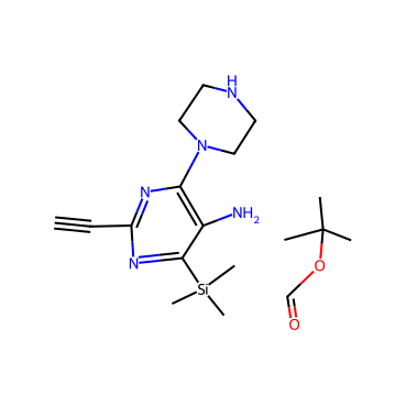 C#Cc1nc(N2CCNCC2)c(N)c([Si](C)(C)C)n1.CC(C)(C)OC=O